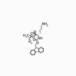 C[Si](C)(C)OC(=O)[C@H](CCCCN)NC(=O)OCC1c2ccccc2-c2ccccc21